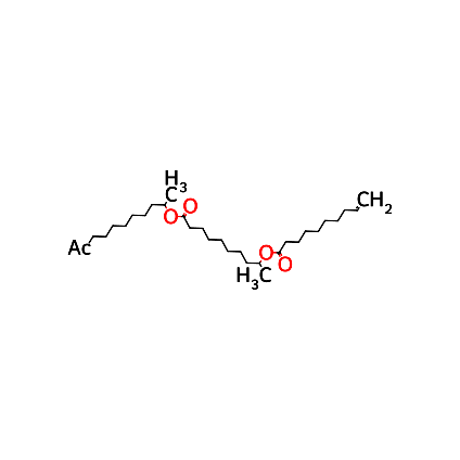 C=CCCCCCCCC(=O)OC(C)CCCCCCCC(=O)OC(C)CCCCCCCC(C)=O